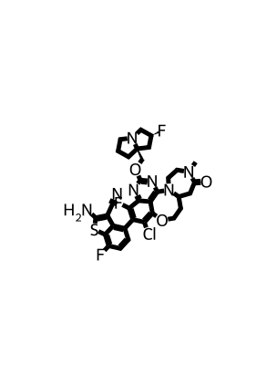 CN1CCN2c3nc(OC[C@@]45CCCN4C[C@H](F)C5)nc4c(F)c(-c5ccc(F)c6sc(N)c(C#N)c56)c(Cl)c(c34)OCCC2CC1=O